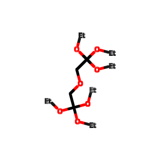 CCOC(COCC(OCC)(OCC)OCC)(OCC)OCC